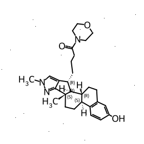 Cn1cc2c(n1)[C@@]1(C)CC[C@@H]3c4ccc(O)cc4CC[C@H]3[C@@H]1[C@H]2CCCC(=O)N1CCOCC1